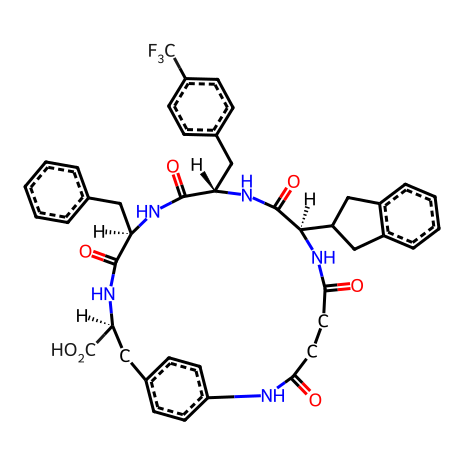 O=C1CCC(=O)N[C@H](C2Cc3ccccc3C2)C(=O)N[C@@H](Cc2ccc(C(F)(F)F)cc2)C(=O)N[C@H](Cc2ccccc2)C(=O)N[C@H](C(=O)O)Cc2ccc(cc2)N1